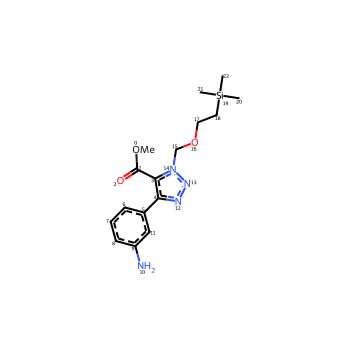 COC(=O)c1c(-c2cccc(N)c2)nnn1COCC[Si](C)(C)C